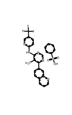 Cc1c(Nc2ccc(C(F)(F)F)cn2)ncnc1-c1ccc2cccnc2c1.O=S(=O)(O)c1ccccc1